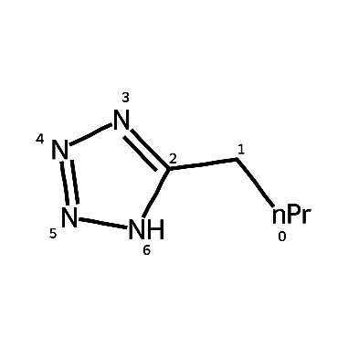 [CH2]CCCc1nnn[nH]1